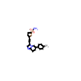 NS(=O)(=O)c1ccc(C#Cc2cnc3ccc(-c4ccc(C(F)(F)F)cc4)cn23)s1